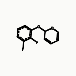 Fc1cccc(OC2C=CC=CO2)c1F